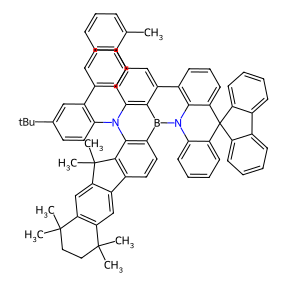 Cc1ccccc1-c1cc2c3c(c1)N(c1ccc(C(C)(C)C)cc1-c1ccccc1)c1c(ccc4c1C(C)(C)c1cc5c(cc1-4)C(C)(C)CCC5(C)C)B3N1c3ccccc3C3(c4ccccc4-c4ccccc43)c3cccc-2c31